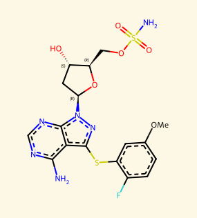 COc1ccc(F)c(Sc2nn([C@H]3C[C@H](O)[C@@H](COS(N)(=O)=O)O3)c3ncnc(N)c23)c1